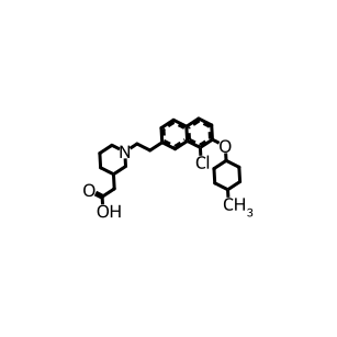 CC1CCC(Oc2ccc3ccc(CCN4CCCC(CC(=O)O)C4)cc3c2Cl)CC1